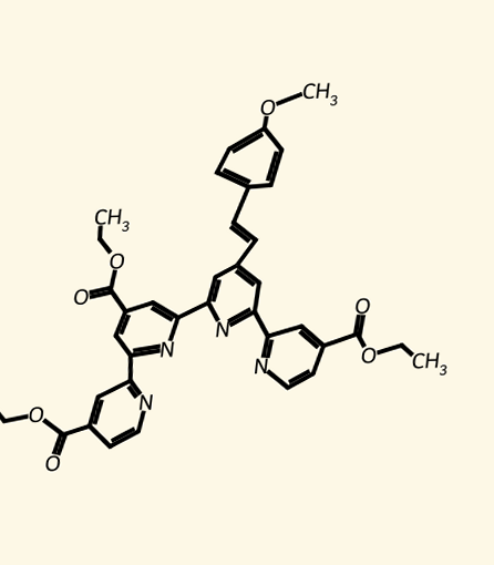 CCOC(=O)c1ccnc(-c2cc(/C=C/c3ccc(OC)cc3)cc(-c3cc(C(=O)OCC)cc(-c4cc(C(=O)OCC)ccn4)n3)n2)c1